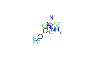 N#Cc1nn(-c2c(Cl)cc(-c3ccc(C(F)(F)F)cc3)cc2Cl)c(N)c1SC(F)(F)F